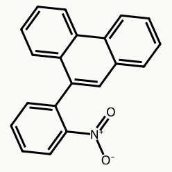 O=[N+]([O-])c1ccccc1-c1cc2ccccc2c2ccccc12